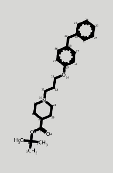 CC(C)(C)OC(=O)C1CCN(CCCOc2ccc(Cc3ccccc3)cc2)CC1